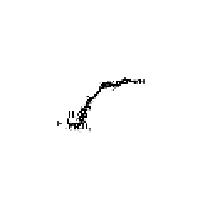 CCCCCC1CCC(C2CCC(C(=O)Oc3ccc(C(=O)OCCCCCCCOC(=O)CCC(=O)O[C@H]4CC[C@@]5(C)C(=CCC6C5CC[C@@]5(C)C6CC[C@@H]5C(C)CCCC(C)C)C4)cc3)CC2)CC1